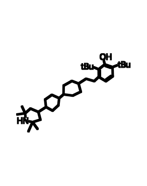 CC1(C)CC(C2CCC(C3CCC(CCc4ccc(C(C)(C)C)c(O)c4C(C)(C)C)CC3)CC2)CC(C)(C)N1